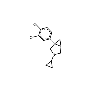 Clc1ccc([C@]23CC2CN(C2CC2)C3)cc1Cl